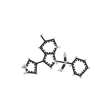 Cc1cnc2c(c1)c(-c1cn[nH]c1)cn2S(=O)(=O)c1ccccc1